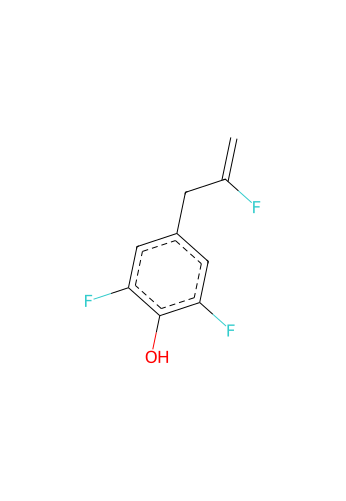 C=C(F)Cc1cc(F)c(O)c(F)c1